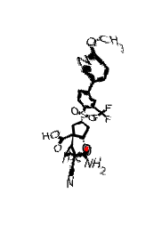 COc1ccc(-c2ccc(S(=O)(=O)[C@@H]3C[C@H](OC)[C@@](C(=O)O)(C4CC4(C#N)C(N)=O)C3)c(C(F)(F)F)c2)cn1